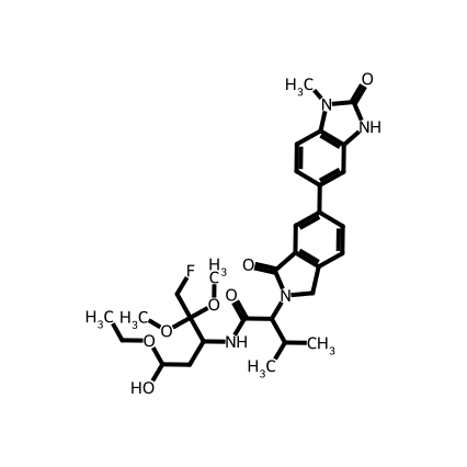 CCOC(O)CC(NC(=O)C(C(C)C)N1Cc2ccc(-c3ccc4c(c3)[nH]c(=O)n4C)cc2C1=O)C(CF)(OC)OC